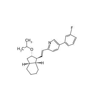 CC(C)O[C@H]1C[C@H]2CCCC[C@H]2[C@@H]1/C=C/c1ccc(-c2cccc(F)c2)cn1